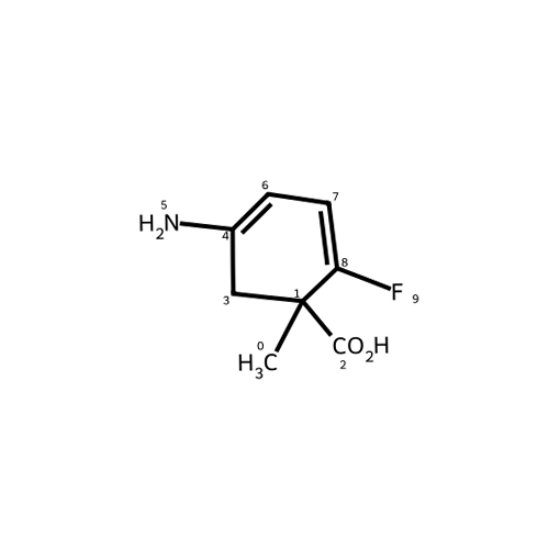 CC1(C(=O)O)CC(N)=CC=C1F